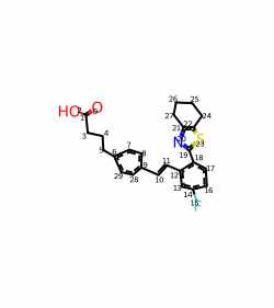 O=C(O)CCCc1ccc(C=Cc2cc(F)ccc2-c2nc3c(s2)CCCC3)cc1